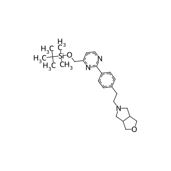 CC(C)(C)[Si](C)(C)OCc1ccnc(-c2ccc(CCN3CC4COCC4C3)cc2)n1